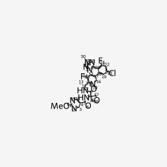 COc1ncc(C(=O)NC2(C(=O)N[C@H](C)c3ncc(-c4cc(Cl)cc(F)c4-c4nnn(C)n4)cc3F)COC2)cn1